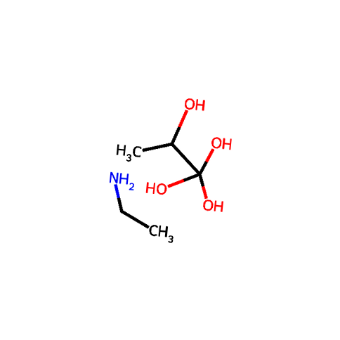 CC(O)C(O)(O)O.CCN